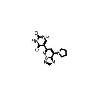 O=c1[nH]cc(-c2cc(N3CCCC3)c3ncnn3n2)c(=O)[nH]1